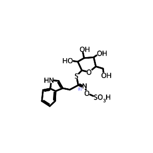 O=S(=O)(O)O/N=C(\Cc1c[nH]c2ccccc12)SC1OC(CO)C(O)C(O)C1O